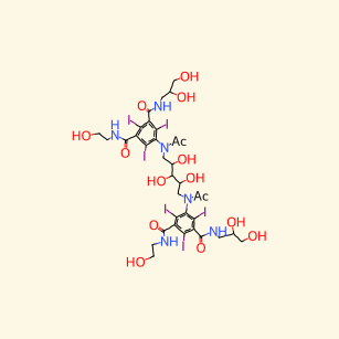 CC(=O)N(CC(O)C(O)C(O)CN(C(C)=O)c1c(I)c(C(=O)NCCO)c(I)c(C(=O)NCC(O)CO)c1I)c1c(I)c(C(=O)NCCO)c(I)c(C(=O)NCC(O)CO)c1I